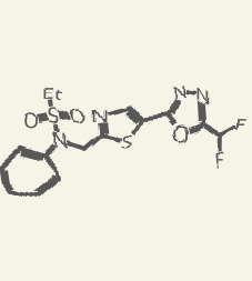 CCS(=O)(=O)N(Cc1ncc(-c2nnc(C(F)F)o2)s1)c1ccccc1